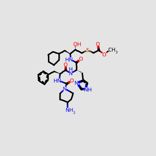 COC(=O)CSC[C@@H](O)[C@H](CC1CCCCC1)NC(=O)[C@H](Cc1c[nH]cn1)NC(=O)[C@H](Cc1ccccc1)NC(=O)N1CCC(N)CC1